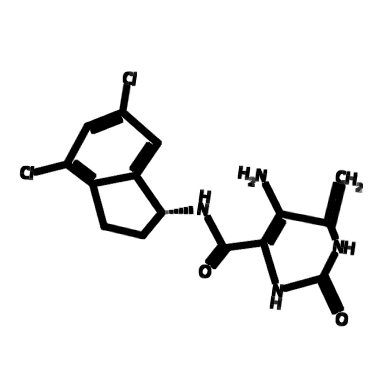 C=C1NC(=O)NC(C(=O)N[C@@H]2CCc3c(Cl)cc(Cl)cc32)=C1N